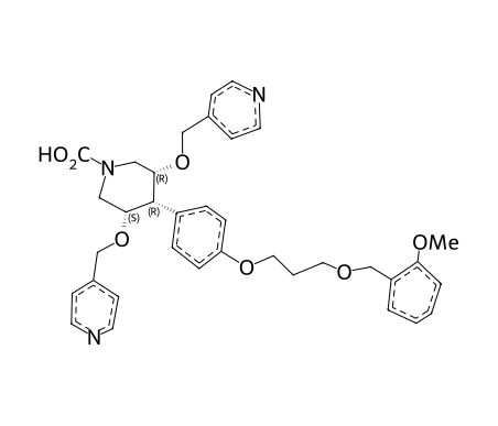 COc1ccccc1COCCCOc1ccc([C@H]2[C@@H](OCc3ccncc3)CN(C(=O)O)C[C@H]2OCc2ccncc2)cc1